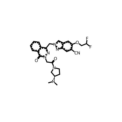 CN(C)[C@@H]1CCN(C(=O)Cn2nc(Cn3cc4cc(OCC(F)F)c(C#N)cc4n3)c3ccccc3c2=O)C1